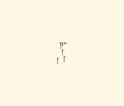 [I-].[I-].[I-].[Tl+3]